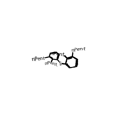 CCCCCc1cccc(Sc2cccc(CCCCC)c2CCCCC)c1CCCCC